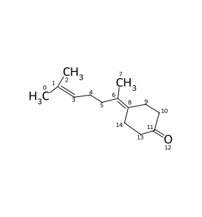 CC(C)=CCCC(C)=C1CCC(=O)CC1